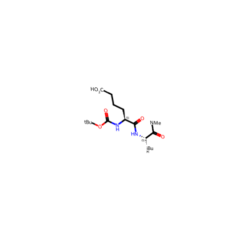 CC[C@@H](C)[C@H](NC(=O)[C@H](CCCC(=O)O)NC(=O)OC(C)(C)C)C(=O)NC